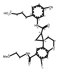 COCCNC(=O)c1cc2c(cc1F)OCC[C@]21CC1C(=O)Nc1cc(C#N)ccc1CCCC(=O)O